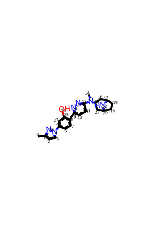 Cc1ccn(-c2ccc(-c3ccc(N(C)C4CC5CCC(C4)N5)nn3)c(O)c2)n1